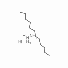 CCCCCCCCCCCC.I.I.N.N